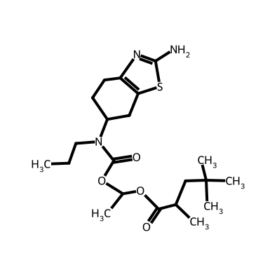 CCCN(C(=O)OC(C)OC(=O)C(C)CC(C)(C)C)C1CCc2nc(N)sc2C1